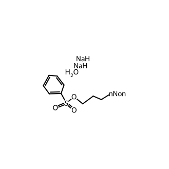 CCCCCCCCCCCCOS(=O)(=O)c1ccccc1.O.[NaH].[NaH]